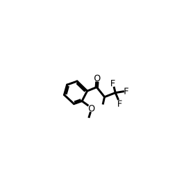 COc1ccccc1C(=O)C(C)C(F)(F)F